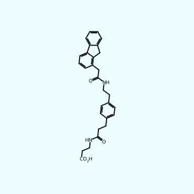 O=C(O)CCNC(=O)CCc1ccc(CCNC(=O)Cc2cccc3c2Cc2ccccc2-3)cc1